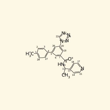 Cc1ccc(-c2cc(C(=O)NC(C)c3ccncc3)cc(-n3cnnn3)c2)cc1